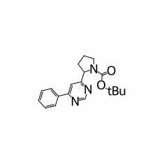 CC(C)(C)OC(=O)N1CCCC1c1cc(-c2ccccc2)ncn1